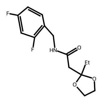 CCC1(CC(=O)NCc2ccc(F)cc2F)OCCO1